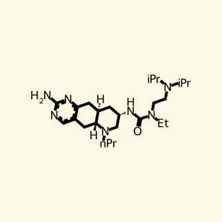 CCCN1C[C@@H](NC(=O)N(CC)CCN(C(C)C)C(C)C)C[C@@H]2Cc3nc(N)ncc3C[C@H]21